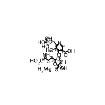 Cc1ncc(CO)c(C=O)c1O.N[C@@H](CCC(=O)OP(=O)(O)O)C(=O)O.O=P(O)(O)O.[MgH2]